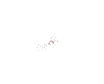 CC(C)(C)OC(=O)N(CCCCCC(=O)O)CCN(CC(C)(C)SC(c1ccccc1)(c1ccccc1)c1ccccc1)CC(C)(C)SC(c1ccccc1)(c1ccccc1)c1ccccc1